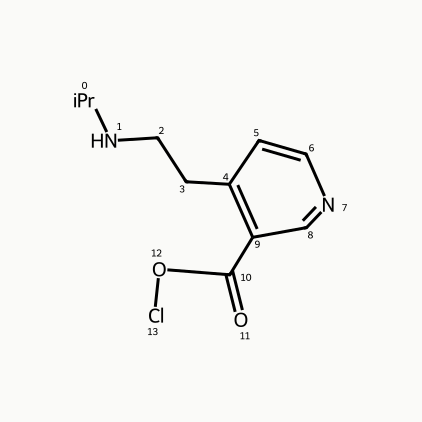 CC(C)NCCc1ccncc1C(=O)OCl